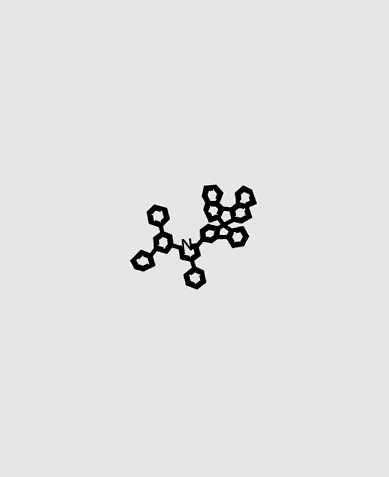 c1ccc(-c2cc(-c3ccccc3)cc(-c3cc(-c4ccccc4)cc(-c4ccc5c(c4)-c4ccccc4C54c5ccc6ccccc6c5-c5c4ccc4ccccc54)n3)c2)cc1